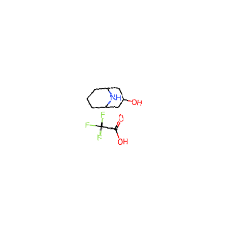 O=C(O)C(F)(F)F.OC1CC2CCCC(C1)N2